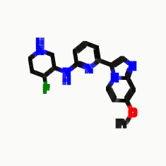 CC(C)Oc1ccn2c(-c3cccc(NC4CNCCC4F)n3)cnc2c1